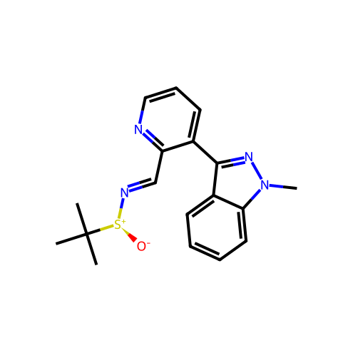 Cn1nc(-c2cccnc2C=N[S@@+]([O-])C(C)(C)C)c2ccccc21